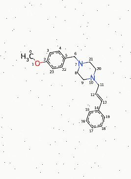 COc1ccc(CN2CCN(CC=Cc3ccccc3)CC2)cc1